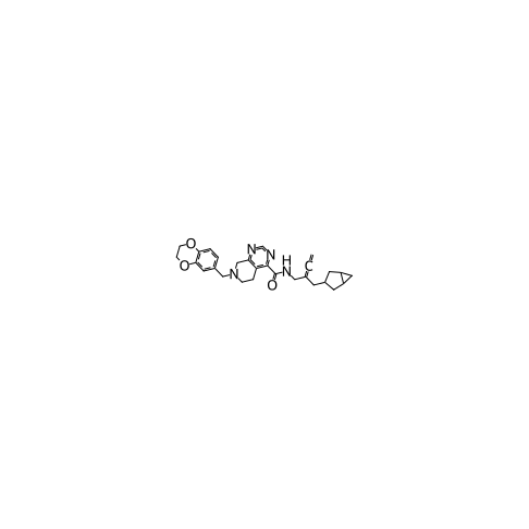 C=C=C(CNC(=O)c1ncnc2c1CCN(Cc1ccc3c(c1)OCCO3)C2)CC1CC2CC2C1